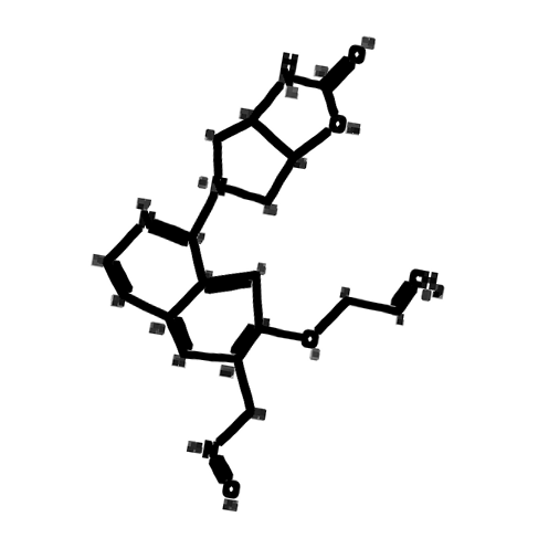 C=CCOc1cc2c(N3CC4NC(=O)OC4C3)nccc2cc1CN=O